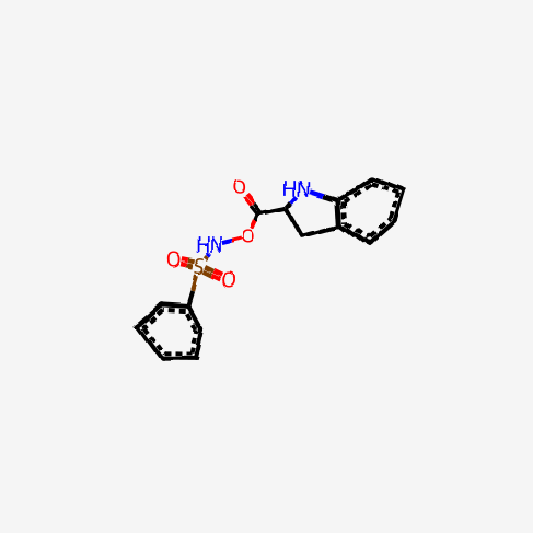 O=C(ONS(=O)(=O)c1ccccc1)C1Cc2ccccc2N1